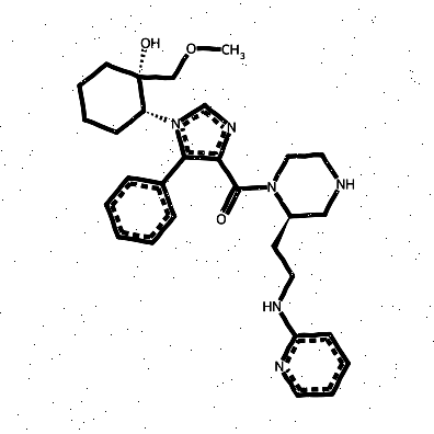 COC[C@]1(O)CCCC[C@H]1n1cnc(C(=O)N2CCNC[C@H]2CCNc2ccccn2)c1-c1ccccc1